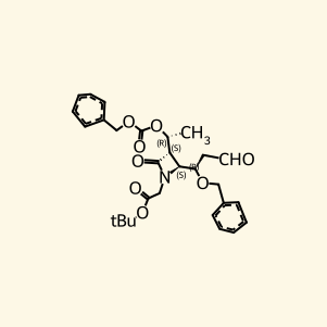 C[C@@H](OC(=O)OCc1ccccc1)[C@H]1C(=O)N(CC(=O)OC(C)(C)C)[C@@H]1[C@@H](CC=O)OCc1ccccc1